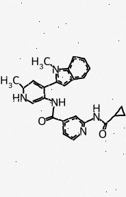 CC1C=C(c2cc3ccccc3n2C)C(NC(=O)c2ccnc(NC(=O)C3CC3)c2)=CN1